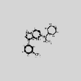 CN(c1ccn2ncc(-c3cccc(C(F)(F)F)c3)c2n1)C1CCOCC1